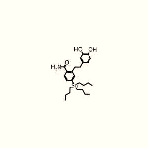 CCC[CH2][Sn]([CH2]CCC)([CH2]CCC)[c]1ccc(C(N)=O)c(CCc2ccc(O)c(O)c2)c1